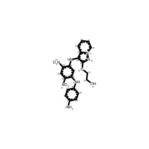 Nc1ccc(Nc2cc(Nc3c(OCCO)nn4ccccc34)c([N+](=O)[O-])cc2[N+](=O)[O-])cc1